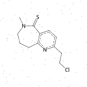 CN1CCCc2nc(CCCl)ccc2C1=S